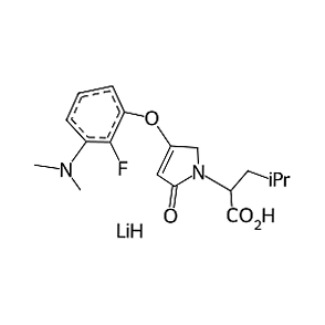 CC(C)CC(C(=O)O)N1CC(Oc2cccc(N(C)C)c2F)=CC1=O.[LiH]